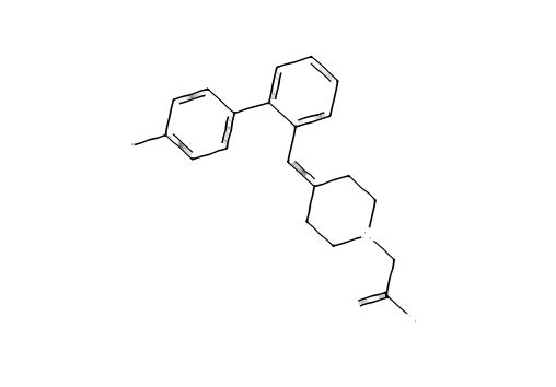 Cl.NC(=O)CN1CCC(=Cc2ccccc2-c2ccc(Cl)cc2)CC1